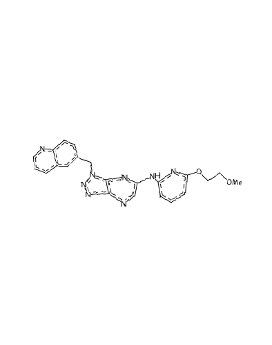 COCCOc1cccc(Nc2cnc3nnn(Cc4ccc5ncccc5c4)c3n2)n1